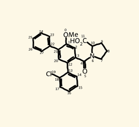 COc1cc(C(=O)N2CCCC2C(=O)O)c(-c2ccccc2Cl)cc1-c1ccccc1